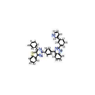 c1ccc(-c2nc(-c3ccc(-c4nc(-c5cccc(-c6cccnc6)c5)nc5ccccc45)cc3)nc3c2sc2ccccc23)cc1